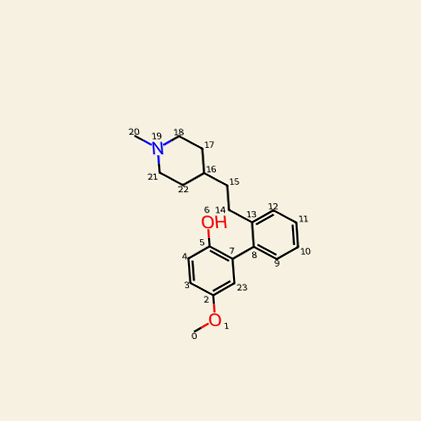 COc1ccc(O)c(-c2ccccc2CCC2CCN(C)CC2)c1